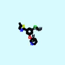 Cc1cnc(-c2cc(O[C@@H]3CN4CCC3CC4)cc(C(=O)O)c2)s1.[Na][Cl]